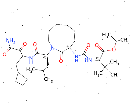 CC(C)C[C@@H](C(=O)NC(CC1CCC1)C(=O)C(N)=O)N1CCCCCC[C@H](NC(=O)N[C@H](C(=O)OC(C)C)C(C)(C)C)C1=O